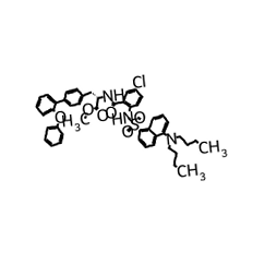 CCCCN(CCCC)c1cccc2c(S(=O)(=O)Nc3ccc(Cl)cc3C(=O)N[C@@H](Cc3ccc(-c4ccccc4Oc4ccccc4)cc3)C(=O)OC)cccc12